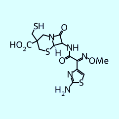 CON=C(C(=O)NC1C(=O)N2CC(CS)(C(=O)O)CS[C@H]12)c1csc(N)n1